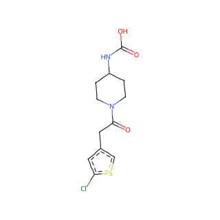 O=C(O)NC1CCN(C(=O)Cc2csc(Cl)c2)CC1